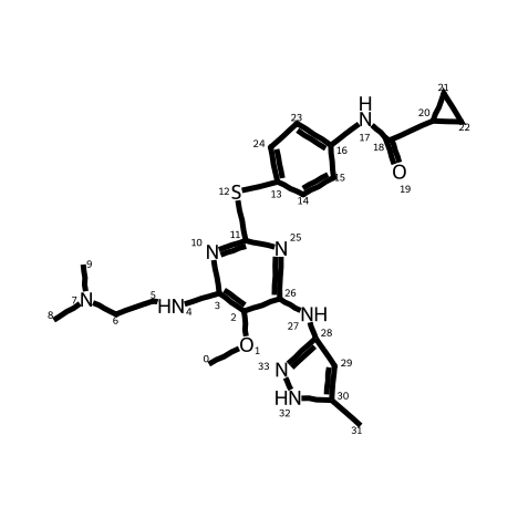 COc1c(NCCN(C)C)nc(Sc2ccc(NC(=O)C3CC3)cc2)nc1Nc1cc(C)[nH]n1